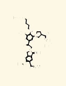 Br.CCOc1cc2c(cc1C(=O)NC)C(=N)N(CC(=O)c1cc(N3CCC(C(N)=O)C3)c(OCCCCC(=O)O)c(C(C)(C)C)c1)C2